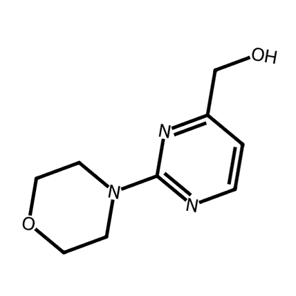 OCc1ccnc(N2CCOCC2)n1